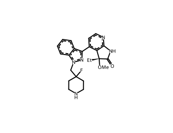 CC[C@]1(OC)C(=O)Nc2nccc(-c3nn(CC4(F)CCNCC4)c4ccccc34)c21